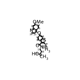 COc1ccc2c(Oc3ccc4c(C(=O)NCCC(C)O)c(C)sc4c3)ccnc2c1